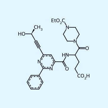 CCOC(=O)N1CCN(C(=O)C(CCC(=O)O)NC(=O)c2cc(C#C[C@H](C)O)nc(-c3ccccc3)n2)CC1